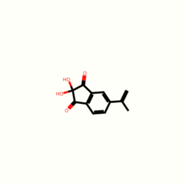 C=C(C)c1ccc2c(c1)C(=O)C(O)(O)C2=O